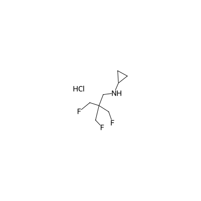 Cl.FCC(CF)(CF)CNC1CC1